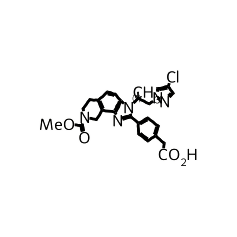 COC(=O)N1CCc2ccc3c(nc(-c4ccc(CC(=O)O)cc4)n3[C@@H](C)Cn3cc(Cl)cn3)c2C1